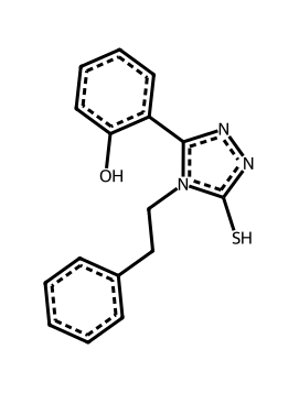 Oc1ccccc1-c1nnc(S)n1CCc1ccccc1